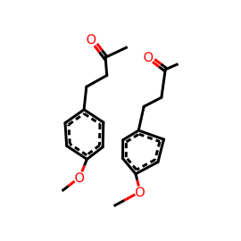 COc1ccc(CCC(C)=O)cc1.COc1ccc(CCC(C)=O)cc1